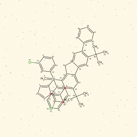 [CH2]=[Zr]([C]1=CC=CC1)([c]1cccc(Cl)c1)([c]1cccc(Cl)c1)[c]1c2c(cc(C(C)(C)C)c1-c1ccccc1)-c1cc(C(C)(C)C)c(-c3ccccc3)cc1C2